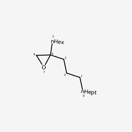 CCCCCCCCCCC1(CCCCCC)CO1